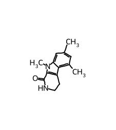 Cc1cc(C)c2c3c(n(C)c2c1)C(=O)NCC3